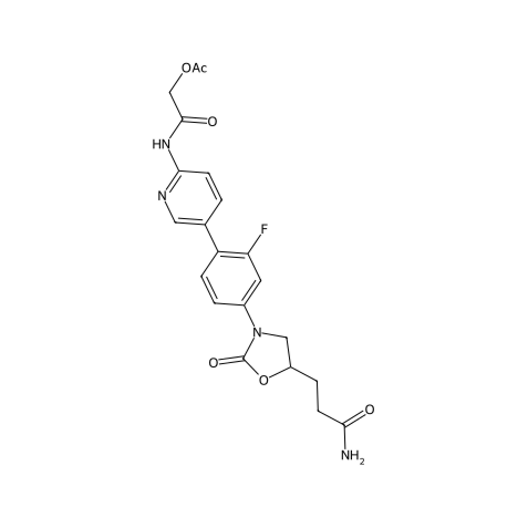 CC(=O)OCC(=O)Nc1ccc(-c2ccc(N3CC(CCC(N)=O)OC3=O)cc2F)cn1